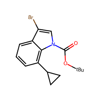 CC(C)(C)OC(=O)n1cc(Br)c2cccc(C3CC3)c21